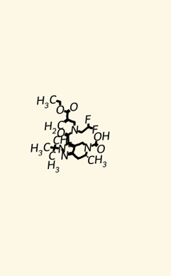 C=C(CN(CC(F)F)C(=O)c1c2c(nn1C(C)(C)C)C[C@@H](C)N(C(=O)O)C2)C(=O)OCC